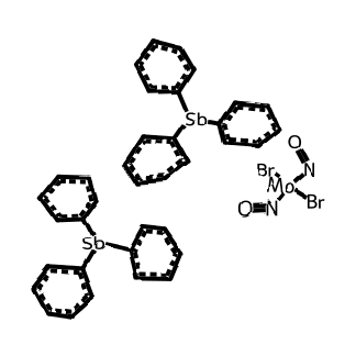 O=[N][Mo]([Br])([Br])[N]=O.c1cc[c]([Sb]([c]2ccccc2)[c]2ccccc2)cc1.c1cc[c]([Sb]([c]2ccccc2)[c]2ccccc2)cc1